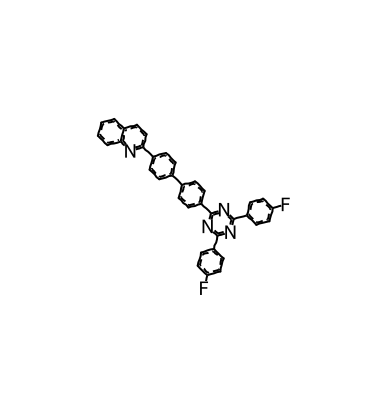 Fc1ccc(-c2nc(-c3ccc(F)cc3)nc(-c3ccc(-c4ccc(-c5ccc6ccccc6n5)cc4)cc3)n2)cc1